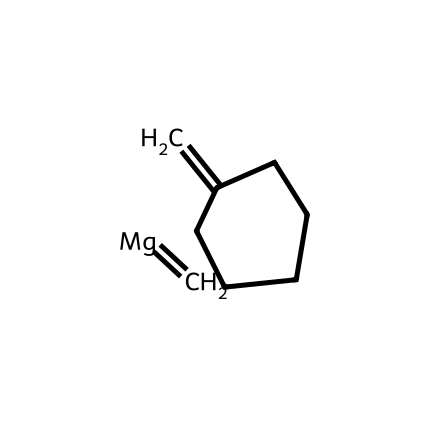 C=C1CCCCC1.[CH2]=[Mg]